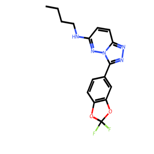 CCCCNc1ccc2nnc(-c3ccc4c(c3)OC(F)(F)O4)n2n1